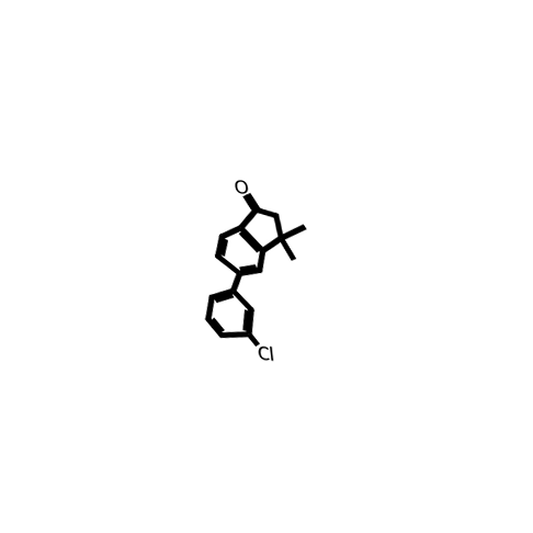 CC1(C)CC(=O)c2ccc(-c3cccc(Cl)c3)cc21